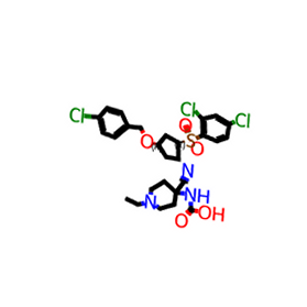 CCN1CCC(C#N)(NC(=O)O)CC1.O=S(=O)(c1ccc(Cl)cc1Cl)[C@@H]1CC[C@@H](OCc2ccc(Cl)cc2)C1